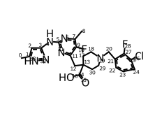 Cc1cc(Nc2nc(C)c(F)c(CC3(C(=O)O)CCN(Cc4cccc(Cl)c4F)CC3)n2)n[nH]1